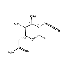 CC(=O)OC1[C@@H](OC(C)=O)[C@H](N=[N+]=[N-])C(C)O[C@@H]1CC(=N)C(Cl)(Cl)Cl